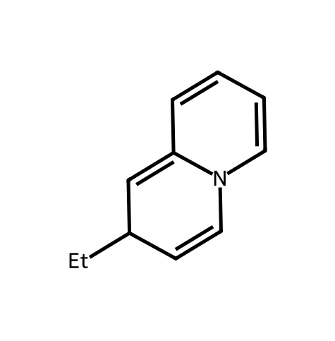 CCC1C=CN2C=CC=CC2=C1